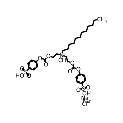 CCCCCCCCCCCC[N+](C)(CCOC(=O)Oc1ccc(S(=O)(=O)O)cc1)CCOC(=O)Oc1ccc(S(=O)(=O)O)cc1.[Cl-].[Na].[Na]